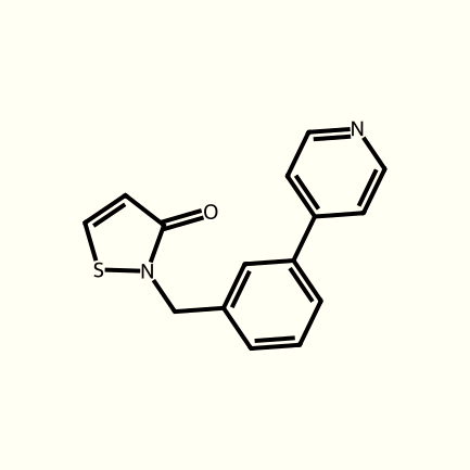 O=c1ccsn1Cc1cccc(-c2ccncc2)c1